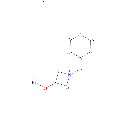 CCOC1CN(CC2CCCCC2)C1